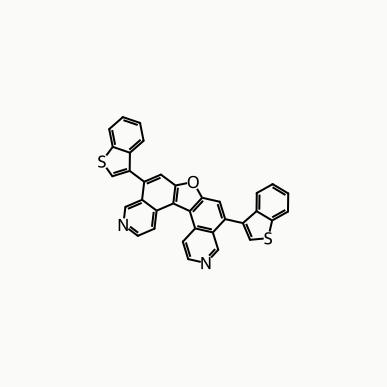 c1ccc2c(-c3cc4oc5cc(-c6csc7ccccc67)c6cnccc6c5c4c4ccncc34)csc2c1